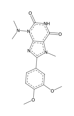 COc1ccc(-c2nc3c(c(=O)[nH]c(=O)n3N(C)C)n2C)cc1OC